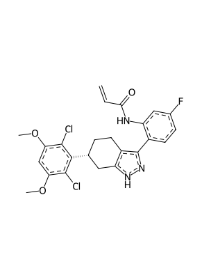 C=CC(=O)Nc1cc(F)ccc1-c1n[nH]c2c1CC[C@@H](c1c(Cl)c(OC)cc(OC)c1Cl)C2